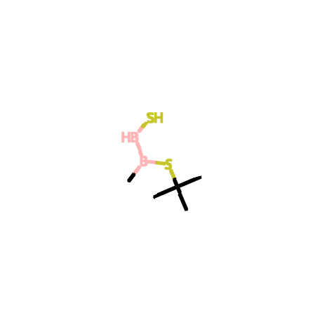 CB(BS)SC(C)(C)C